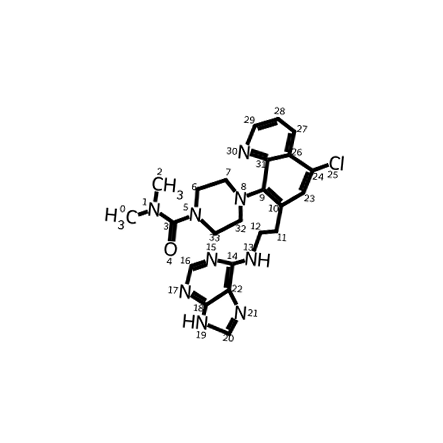 CN(C)C(=O)N1CCN(c2c(CCNc3ncnc4[nH]cnc34)cc(Cl)c3cccnc23)CC1